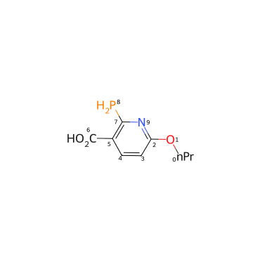 CCCOc1ccc(C(=O)O)c(P)n1